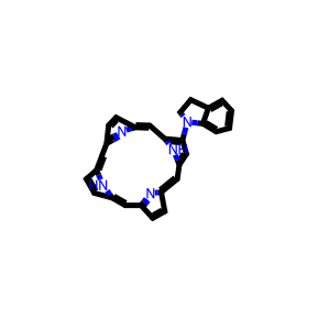 C1=Cc2cc3cc(N4CCc5ccccc54)c(cc4nc(cc5ccc(cc1n2)[nH]5)C=C4)[nH]3